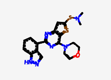 CN(C)Sc1cc2nc(-c3cccc4[nH]ncc34)nc(N3CCOCC3)c2s1